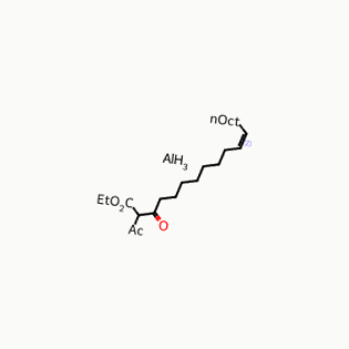 CCCCCCCC/C=C\CCCCCCCC(=O)C(C(C)=O)C(=O)OCC.[AlH3]